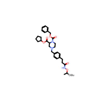 CC(C)COC(C)ONC(=O)CCc1ccc(CN2CCN(C(=O)OCc3ccccc3)C(C(=O)OC3CCCC3)C2)cc1